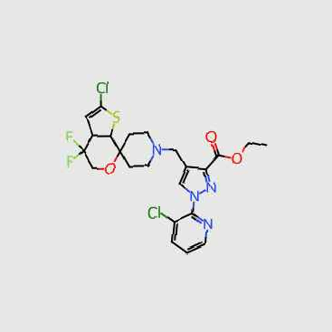 CCOC(=O)c1nn(-c2ncccc2Cl)cc1CN1CCC2(CC1)OCC(F)(F)C1C=C(Cl)SC12